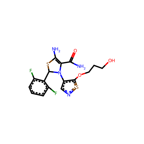 NC(=O)C1=C(N)SC(c2c(F)cccc2F)N1c1cnsc1OCCCO